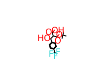 CC(C)(C)OC(=O)C(C(=O)O)C(O)c1ccc(C(F)(F)F)cc1